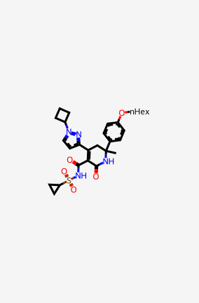 CCCCCCOc1ccc(C2(C)CC(c3ccn(C4CCC4)n3)=C(C(=O)NS(=O)(=O)C3CC3)C(=O)N2)cc1